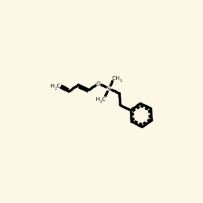 C=CC=CO[Si](C)(C)CCc1ccccc1